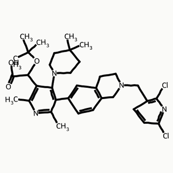 Cc1nc(C)c(C(OC(C)(C)C)C(=O)O)c(N2CCC(C)(C)CC2)c1-c1ccc2c(c1)CCN(Cc1ccc(Cl)nc1Cl)C2